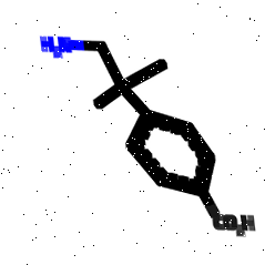 CC(C)(CN)c1ccc(C(=O)O)cc1